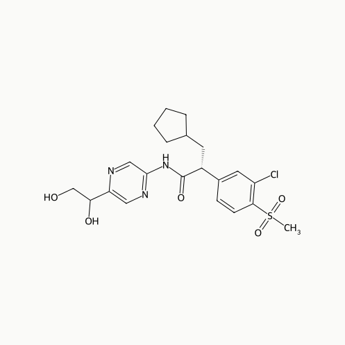 CS(=O)(=O)c1ccc([C@@H](CC2CCCC2)C(=O)Nc2cnc(C(O)CO)cn2)cc1Cl